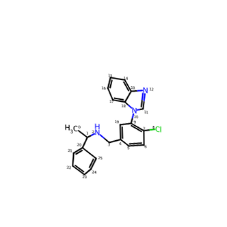 CC(NCc1ccc(Cl)c(-n2cnc3ccccc32)c1)c1ccccc1